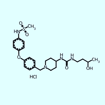 CC(O)CCNC(=O)NC1CCN(Cc2ccc(Oc3ccc(NS(C)(=O)=O)cc3)cc2)CC1.Cl